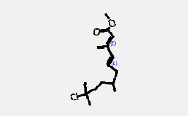 COC(=O)/C=C(C)/C=C/CC(C)CCC(C)(C)Cl